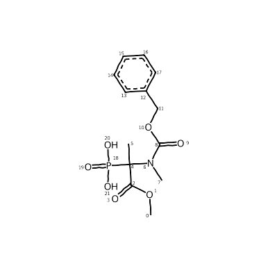 COC(=O)C(C)(N(C)C(=O)OCc1ccccc1)P(=O)(O)O